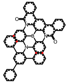 O=c1c2ccccc2c2cc3c4ccccc4c(=O)n4c3c3c2n1-c1cccc2c1B3c1c(cccc1-4)N2c1c(-c2ccccc2)cc(-c2ccccc2)cc1-c1ccccc1